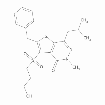 CC(C)Cc1nn(C)c(=O)c2c(S(=O)(=O)CCCO)c(Cc3ccccc3)sc12